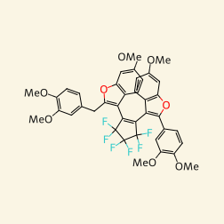 COc1ccc2c(C3=C(c4c(-c5ccc(OC)c(OC)c5)oc5cc(OC)ccc45)C(F)(F)C(F)(F)C3(F)F)c(Cc3ccc(OC)c(OC)c3)oc2c1